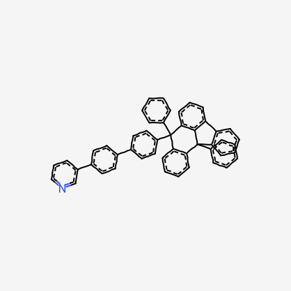 c1ccc(C2(c3ccc(-c4ccc(-c5cccnc5)cc4)cc3)c3ccccc3C3(c4ccccc4)c4ccccc4-c4cccc2c43)cc1